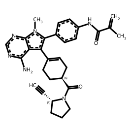 C#C[C@H]1CCCN1C(=O)[C@@H]1CC=C(c2c(-c3ccc(NC(=O)C(=C)C)cc3)n(C)c3ncnc(N)c23)CC1